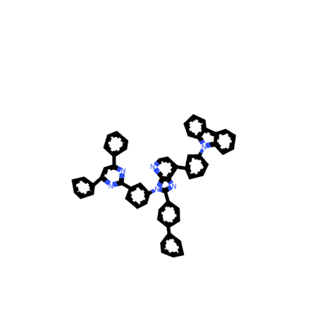 c1ccc(-c2ccc(-c3nc4c(-c5cccc(-n6c7ccccc7c7ccccc76)c5)ccnc4n3-c3cccc(-c4nc(-c5ccccc5)cc(-c5ccccc5)n4)c3)cc2)cc1